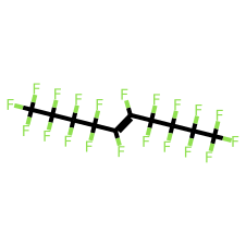 FC(=C(F)C(F)(F)C(F)(F)C(F)(F)C(F)(F)F)C(F)(F)C(F)(F)C(F)(F)C(F)(F)F